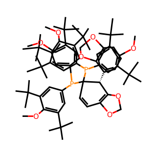 COc1c(C(C)(C)C)cc(P(c2cc(C(C)(C)C)c(OC)c(C(C)(C)C)c2)C2(P(c3cc(C(C)(C)C)c(OC)c(C(C)(C)C)c3)c3cc(C(C)(C)C)c(OC)c(C(C)(C)C)c3)C=CC3=C(OCO3)[C@H]2c2cccc3c2OCO3)cc1C(C)(C)C